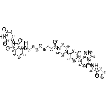 O=C1CC[C@@H](N2C(=O)c3cccc(NCCCCCCCC(=O)N4CCN(c5ccc(-c6cnc(NCc7ccco7)n7cnnc67)cc5)CC4)c3C2=O)C(=O)N1